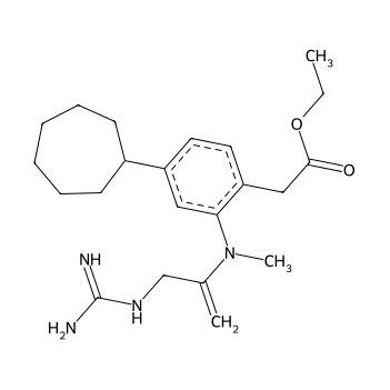 C=C(CNC(=N)N)N(C)c1cc(C2CCCCCC2)ccc1CC(=O)OCC